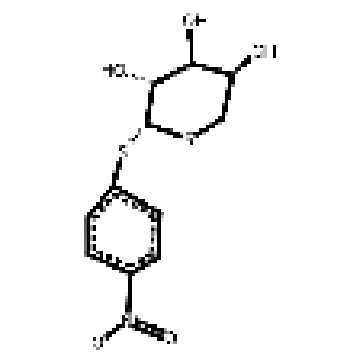 O=[N+]([O-])c1ccc(S[C@H]2SC[C@H](O)[C@H](O)[C@H]2O)cc1